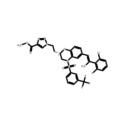 COC(=O)c1cn(CC[C@H]2CN(S(=O)(=O)c3cccc(C(F)(F)F)c3)c3cc(C=C(C)c4c(F)cccc4Cl)ccc3O2)nn1